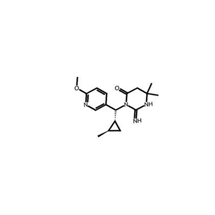 COc1ccc(C([C@@H]2C[C@H]2C)N2C(=N)NC(C)(C)CC2=O)cn1